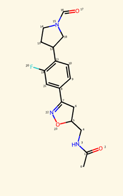 CC(=O)NCC1CC(c2ccc(C3CCN(C=O)C3)c(F)c2)=NO1